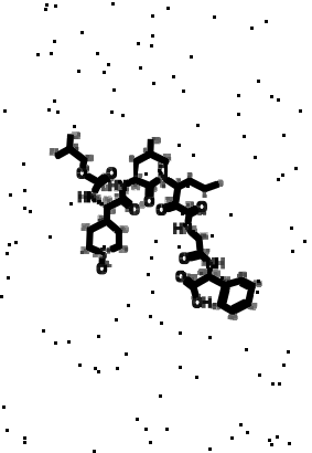 CCCC(NC(=O)[C@H](CC(C)C)NC(=O)[C@@H](NC(=O)OCC(C)C)C1CC[S+]([O-])CC1)C(=O)C(=O)NCC(=O)N[C@H](C(=O)O)c1ccccc1